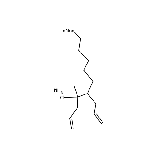 C=CCC(CCCCCCCCCCCCCC)C(C)(Cl)CC=C.N